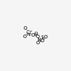 C=C1C=C(c2ccccc2)C=C(c2ccccc2)N=C1c1ccc2c(c1)oc1ccc(-n3c4ccccc4c4ccc5c6ccccc6sc5c43)cc12